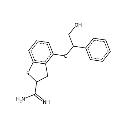 N=C(N)C1Cc2c(OC(CO)c3ccccc3)cccc2S1